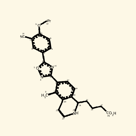 Cc1c(-c2noc(-c3ccc(OC(C)C)c(C#N)c3)n2)ccc2c1CCNC2CCCC(=O)O